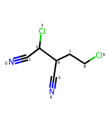 N#CC(Cl)C(C#N)CCCl